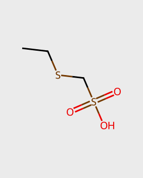 CCSCS(=O)(=O)O